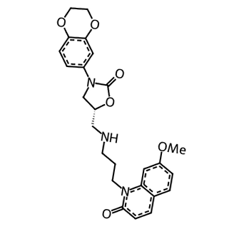 COc1ccc2ccc(=O)n(CCCNC[C@@H]3CN(c4ccc5c(c4)OCCO5)C(=O)O3)c2c1